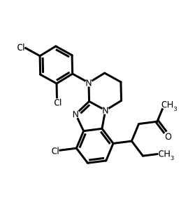 CCC(CC(C)=O)c1ccc(Cl)c2nc3n(c12)CCCN3c1ccc(Cl)cc1Cl